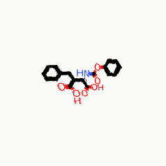 O=C(N[C@H](C(=O)O)C(Cc1ccccc1)C(=O)O)Oc1ccccc1